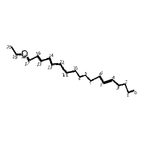 CCCCC=CCCCCCCCCCCCCOCC